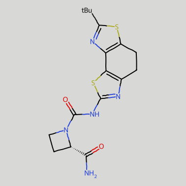 CC(C)(C)c1nc2c(s1)CCc1nc(NC(=O)N3CC[C@H]3C(N)=O)sc1-2